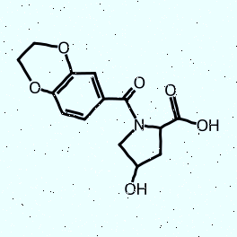 O=C(O)C1CC(O)CN1C(=O)c1ccc2c(c1)OCCO2